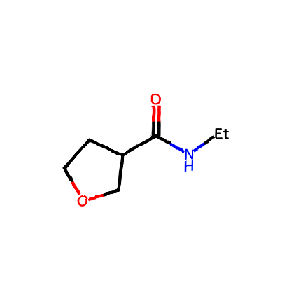 CCNC(=O)C1CCOC1